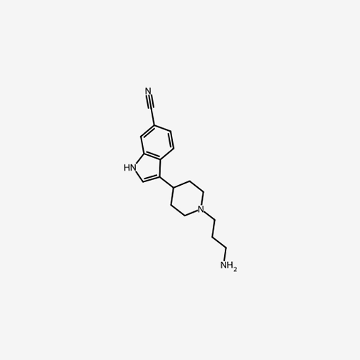 N#Cc1ccc2c(C3CCN(CCCN)CC3)c[nH]c2c1